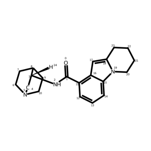 O=C(N[C@@H]1CN2CCC1CC2)c1cccc2c1cc1n2CCCC1